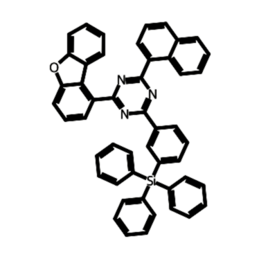 c1ccc([Si](c2ccccc2)(c2ccccc2)c2cccc(-c3nc(-c4cccc5ccccc45)nc(-c4cccc5oc6ccccc6c45)n3)c2)cc1